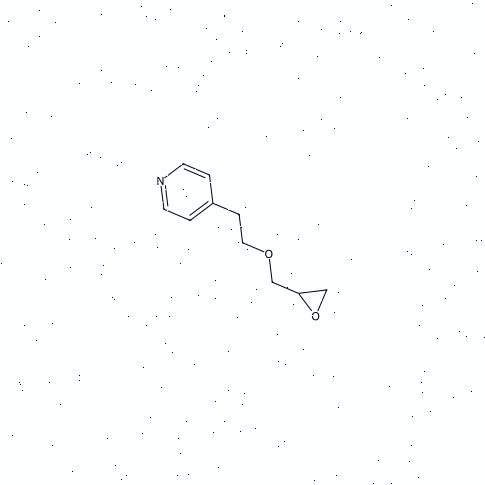 c1cc(CCOCC2CO2)ccn1